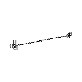 O=C=NCCCCCCCCCCCCCCCCCCCCCCCCCCCCCCCCCCCCCCC[SiH](Cl)Cl